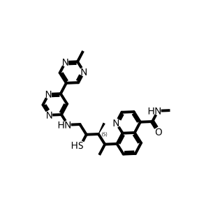 CNC(=O)c1ccnc2c(C(C)[C@H](C)C(S)CNc3cc(-c4cnc(C)nc4)ncn3)cccc12